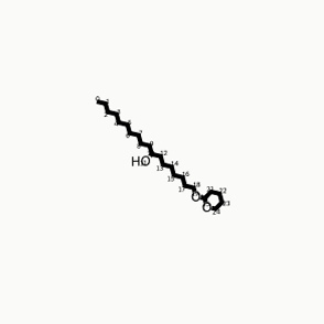 CCCCCCCCCCC(O)CCCCCCCOC1CCCCO1